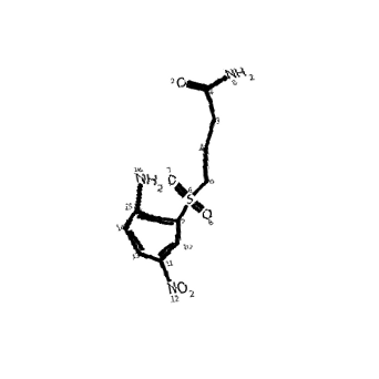 NC(=O)CCCS(=O)(=O)c1cc([N+](=O)[O-])ccc1N